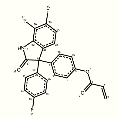 C=CC(=O)Oc1ccc(C2(c3ccc(F)cc3)C(=O)Nc3c2ccc(F)c3F)cc1